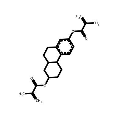 C=C(C)C(=O)Oc1ccc2c(c1)CCC1CC(OC(=O)C(=C)C)CCC21